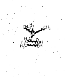 CCCCCCCC(=O)O.CCCCCCCC(=O)O.CCCCCCC[CH2][Sn]([CH2]CCC)([CH2]CCC)[CH2]CCCCCCC